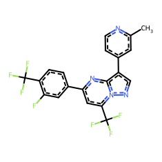 Cc1cc(-c2cnn3c(C(F)(F)F)cc(-c4ccc(C(F)(F)F)c(F)c4)nc23)ccn1